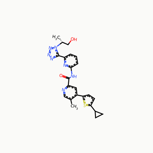 Cc1cnc(C(=O)Nc2cccc(-c3nnnn3[C@H](C)CO)n2)cc1-c1ccc(C2CC2)s1